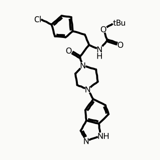 CC(C)(C)OC(=O)NC(Cc1ccc(Cl)cc1)C(=O)N1CCN(c2ccc3[nH]ncc3c2)CC1